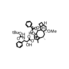 CO[C@H]1C[C@H]2CC[C@@]2(OC(C)=O)[C@H]2[C@H](OC(=O)c3ccccc3)[C@]3(O)C[C@H](OC(=O)[C@H](O)[C@@H](NC(=O)OC(C)(C)C)c4ccccc4)C(C)=C([C@@H](C)C[C@]12C)C3(C)C